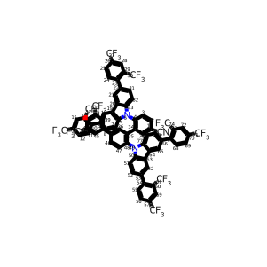 N#Cc1ccc(-n2c3ccc(-c4ccc(C(F)(F)F)cc4C(F)(F)F)cc3c3cc(-c4ccc(C(F)(F)F)cc4C(F)(F)F)ccc32)c(-c2cc(-c3cc(C(F)(F)F)cc(C(F)(F)F)c3)ccc2-n2c3ccc(-c4ccc(C(F)(F)F)cc4C(F)(F)F)cc3c3cc(-c4ccc(C(F)(F)F)cc4C(F)(F)F)ccc32)c1